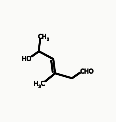 CC(=CC(C)O)CC=O